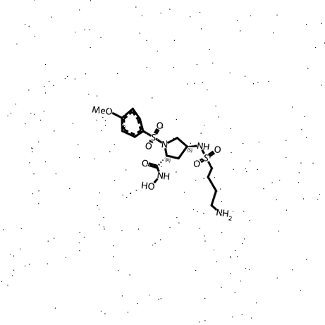 COc1ccc(S(=O)(=O)N2C[C@@H](NS(=O)(=O)CCCCN)C[C@@H]2C(=O)NO)cc1